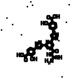 N=C(N)NC(=O)c1cc(-c2cn(-c3ccc(C(=O)O)c(O)c3)nn2)nc(-c2cn(-c3ccc(C(=O)O)c(O)c3)nn2)c1